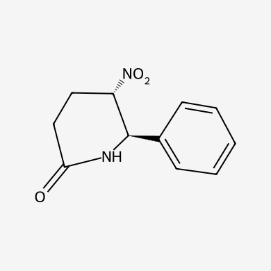 O=C1CC[C@H]([N+](=O)[O-])[C@@H](c2ccccc2)N1